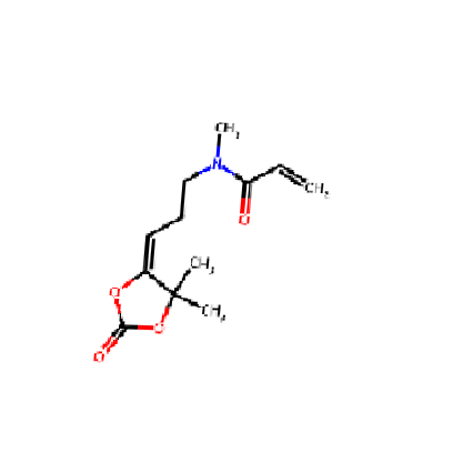 C=CC(=O)N(C)CC/C=C1/OC(=O)OC1(C)C